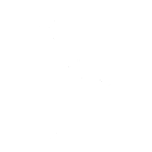 CNc1ccc(N2CCC(C(F)(F)F)CC2)cc1NC(=O)N(S)c1cc(CNC(=O)C(C)(C)C)ccc1Cl